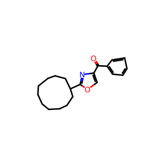 O=C(c1ccccc1)c1coc(C2CCCCCCCCCC2)n1